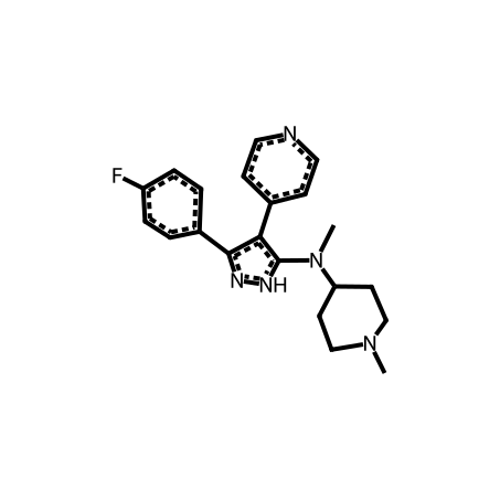 CN1CCC(N(C)c2[nH]nc(-c3ccc(F)cc3)c2-c2ccncc2)CC1